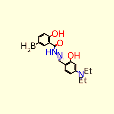 Bc1ccc(O)c(C(=O)N/N=C/c2ccc(N(CC)CC)cc2O)c1